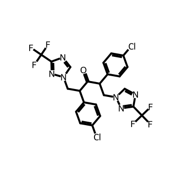 O=C(C(Cn1cnc(C(F)(F)F)n1)c1ccc(Cl)cc1)C(Cn1cnc(C(F)(F)F)n1)c1ccc(Cl)cc1